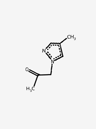 CC(=O)Cn1cc(C)cn1